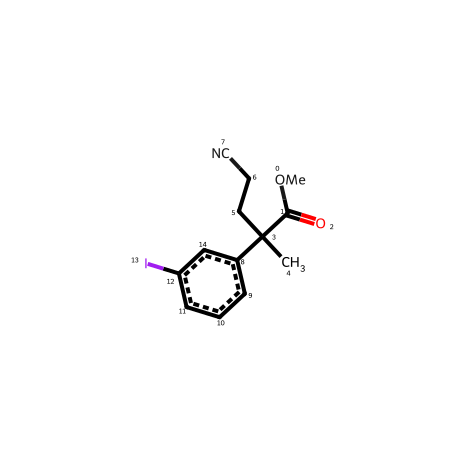 COC(=O)C(C)(CCC#N)c1cccc(I)c1